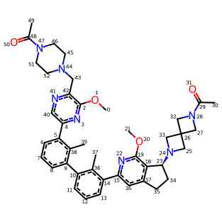 COc1nc(-c2cccc(-c3cccc(-c4cc5c(c(OC)n4)[C@@H](N4CC6(CN(C(C)=O)C6)C4)CC5)c3C)c2C)cnc1CN1CCN(C(C)=O)CC1